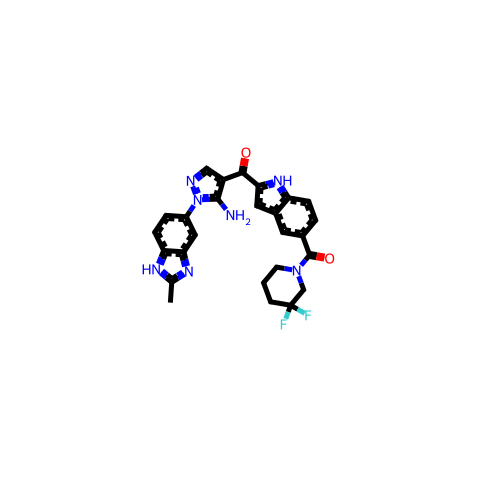 Cc1nc2cc(-n3ncc(C(=O)c4cc5cc(C(=O)N6CCCC(F)(F)C6)ccc5[nH]4)c3N)ccc2[nH]1